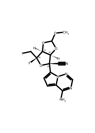 COC1O[C@@H]2[C@H](O1)[C@@](F)(CI)O[C@@]2(C#N)c1ccc2c(N)ncnn12